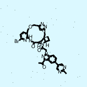 CC(=O)c1nn(CC(=O)N2[C@H]3C[C@]4(CC[C@@H]24)Cn2cc(nn2)COCc2ccc(Br)nc2NC3=O)c2ccc(-c3cnc(C)nc3)cc12